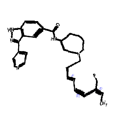 C\C=C(F)/C=C\C=C\CCN1CCCCC(NC(=O)c2ccc3[nH]nc(-c4ccncc4)c3c2)C1